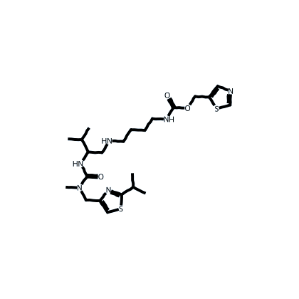 CC(C)c1nc(CN(C)C(=O)NC(CNCCCCNC(=O)OCc2cncs2)C(C)C)cs1